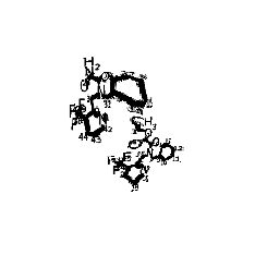 CCOC(=O)C(=O)N(Cc1ccccc1)Cc1ncccc1C(F)(F)F.NC(=O)C(=O)N(Cc1ccccc1)Cc1ncccc1C(F)(F)F